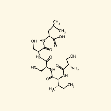 CC[C@H](C)[C@H](NC(=O)[C@@H](N)CO)C(=O)N[C@@H](CS)C(=O)N[C@@H](CO)C(=O)N[C@@H](CC(C)C)C(=O)O